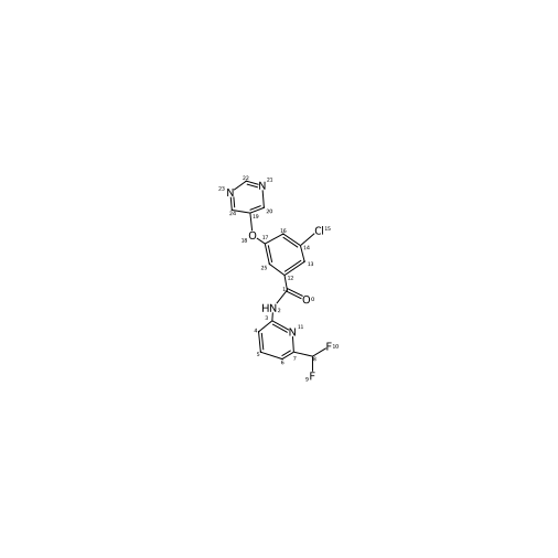 O=C(Nc1cccc(C(F)F)n1)c1cc(Cl)cc(Oc2cncnc2)c1